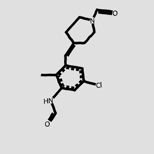 Cc1c(C=C2CCN(C=O)CC2)cc(Cl)cc1NC=O